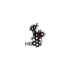 CCc1c(F)ccc2cc(O)cc(-c3c(F)cc4c(N5[C@@H]6CCC[C@H]5CNC6)nc(OC[C@@]56CCCN5C[C@H](F)C6)nc4c3F)c12